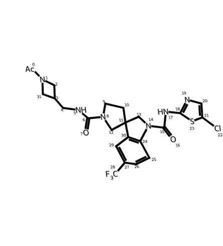 CC(=O)N1CC(CNC(=O)N2CCC3(C2)CN(C(=O)Nc2ncc(Cl)s2)c2ccc(C(F)(F)F)cc23)C1